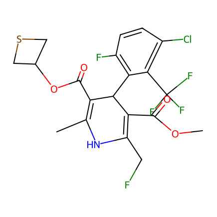 COC(=O)C1=C(CF)NC(C)=C(C(=O)OC2CSC2)C1c1c(F)ccc(Cl)c1C(F)(F)F